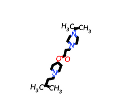 CC(C)CCN1CCC(OC(=O)CCN2CCN(C(C)C)CC2)CC1